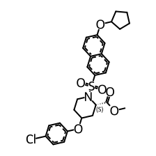 COC(=O)[C@@H]1CC(Oc2ccc(Cl)cc2)CCN1S(=O)(=O)c1ccc2cc(OC3CCCC3)ccc2c1